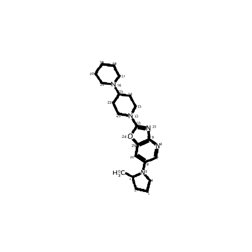 CC1CCCN1c1cnc2nc(N3CCC(N4CCCCC4)CC3)oc2c1